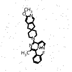 COc1cc2c(cn1)CC1(CCN(c3nc(C)c(-c4ccccc4F)n4nccc34)CC1)C2